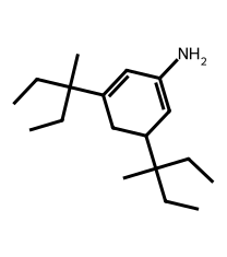 CCC(C)(CC)C1=CC(N)=CC(C(C)(CC)CC)C1